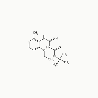 CCOc1cccc(C)c1NC(=N)NC(=O)NC(C)(C)C